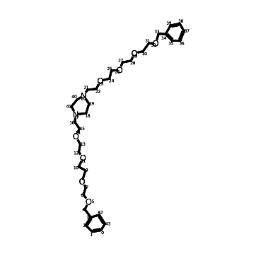 c1ccc(COCCOCCOCCOCCN2CCN(CCOCCOCCOCCOCc3ccccc3)CC2)cc1